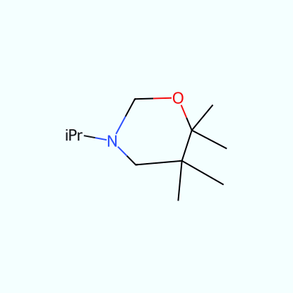 CC(C)N1COC(C)(C)C(C)(C)C1